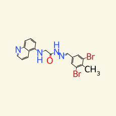 Cc1c(Br)cc(/C=N/NC(=O)CNc2cccc3ncccc23)cc1Br